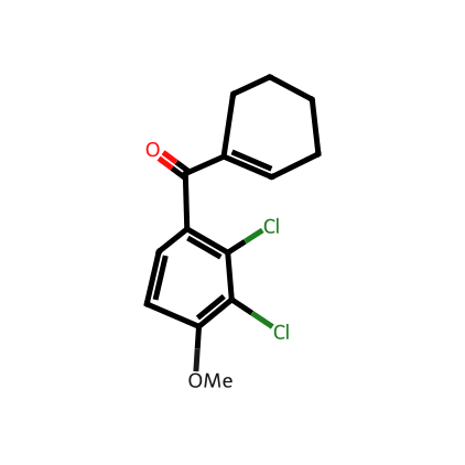 COc1ccc(C(=O)C2=CCCCC2)c(Cl)c1Cl